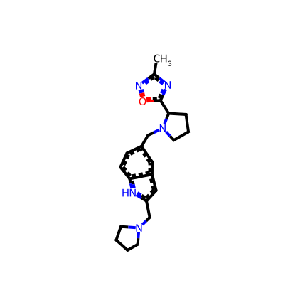 Cc1noc(C2CCCN2Cc2ccc3[nH]c(CN4CCCC4)cc3c2)n1